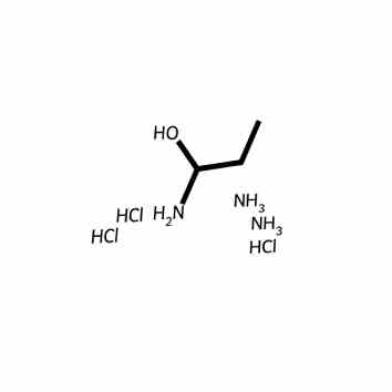 CCC(N)O.Cl.Cl.Cl.N.N